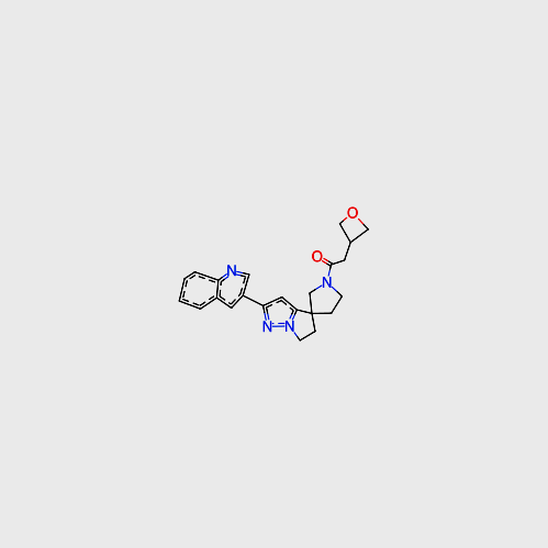 O=C(CC1COC1)N1CCC2(CCn3nc(-c4cnc5ccccc5c4)cc32)C1